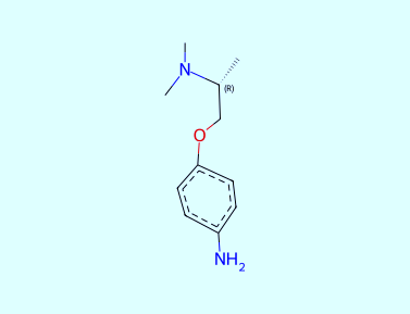 C[C@H](COc1ccc(N)cc1)N(C)C